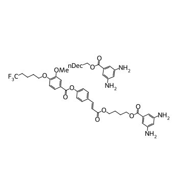 CCCCCCCCCCCOC(=O)c1cc(N)cc(N)c1.COc1cc(C(=O)Oc2ccc(C=CC(=O)OCCCCOC(=O)c3cc(N)cc(N)c3)cc2)ccc1OCCCCC(F)(F)F